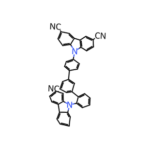 N#Cc1cc(-c2ccc(-n3c4ccc(C#N)cc4c4cc(C#N)ccc43)cc2)cc(-c2ccccc2-n2c3ccccc3c3ccccc32)c1